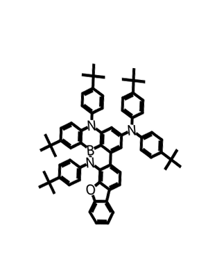 CC(C)(C)c1ccc(N2B3c4cc(C(C)(C)C)ccc4N(c4ccc(C(C)(C)C)cc4)c4cc(N(c5ccc(C(C)(C)C)cc5)c5ccc(C(C)(C)C)cc5)cc(c43)-c3ccc4c(oc5ccccc54)c32)cc1